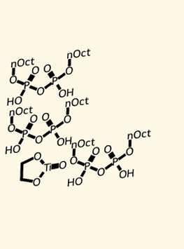 CCCCCCCCOP(=O)(O)OP(=O)(O)OCCCCCCCC.CCCCCCCCOP(=O)(O)OP(=O)(O)OCCCCCCCC.CCCCCCCCOP(=O)(O)OP(=O)(O)OCCCCCCCC.[O]=[Ti]1[O]CC[O]1